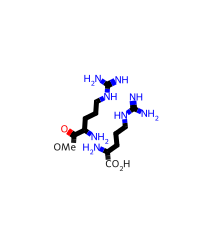 COC(=O)C(N)CCCNC(=N)N.N=C(N)NCCCC(N)C(=O)O